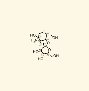 N[C@]1(O)[CH]O[C@H](CO)[C@@H](O[C@H]2C[C@@H](O)[C@@H](O)[C@@H](CO)O2)[C@@H]1O